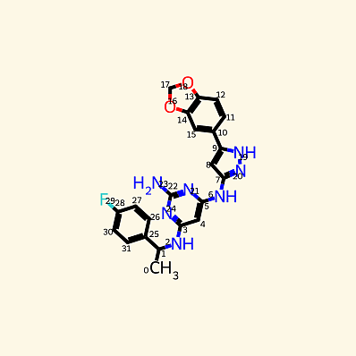 CC(Nc1cc(Nc2cc(-c3ccc4c(c3)OCO4)[nH]n2)nc(N)n1)c1ccc(F)cc1